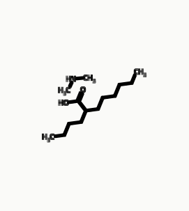 CCCCCCC(CCCC)C(=O)O.CNC